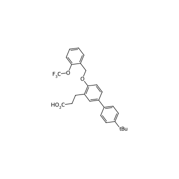 CC(C)(C)c1ccc(-c2ccc(OCc3ccccc3OC(F)(F)F)c(CCC(=O)O)c2)cc1